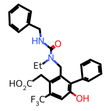 CCN(Cc1c(CC(=O)O)c(C(F)(F)F)cc(O)c1-c1ccccc1)C(=O)NCc1ccccc1